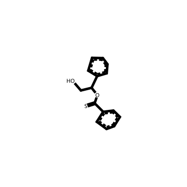 OCC(OC(=S)c1ccccc1)c1ccccc1